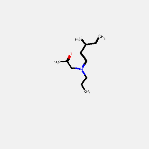 CCCN(CCC(C)CC)CC(C)=O